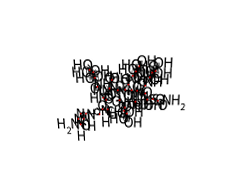 C[C@H](CCC(=O)N[C@@H](CCC(=O)NC[C@H](O)[C@@H](O)[C@H](O)[C@H](O)CO)C(=O)N[C@@H](CCC(=O)O)C(=O)N[C@@H](CCC(=O)NC[C@H](O)[C@@H](O)[C@H](O)[C@H](O)CO)C(=O)N[C@@H](CCC(=O)NC[C@H](O)[C@@H](O)[C@H](O)[C@H](O)CO)C(=O)N[C@@H](CCC(=O)O)C(=O)N[C@@H](CCC(=O)NC[C@H](O)[C@@H](O)[C@H](O)[C@H](O)CO)C(=O)N[C@@H](CSSCOC(N)=O)C(=O)O)NC(=O)c1ccc(NCc2cnc3nc(N)[nH]c(=O)c3n2)cc1